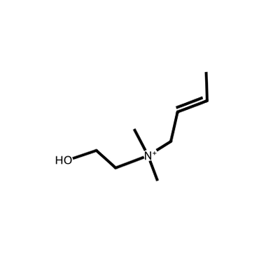 C/C=C/C[N+](C)(C)CCO